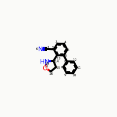 N#Cc1cccc(-c2ccccc2)c1C1CCON1